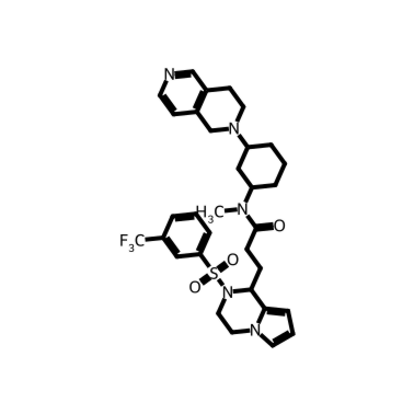 CN(C(=O)CCC1c2cccn2CCN1S(=O)(=O)c1cccc(C(F)(F)F)c1)C1CCCC(N2CCc3cnccc3C2)C1